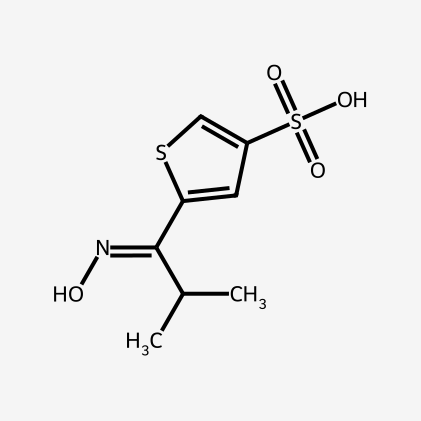 CC(C)/C(=N\O)c1cc(S(=O)(=O)O)cs1